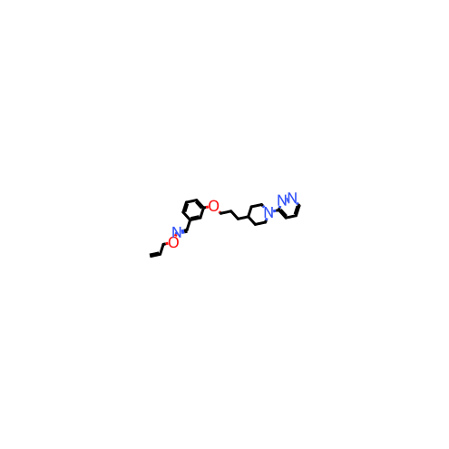 C=CCON=Cc1cccc(OCCCC2CCN(c3cccnn3)CC2)c1